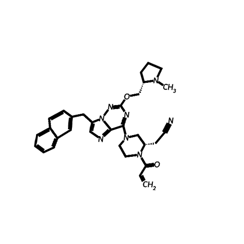 C=CC(=O)N1CCN(c2nc(OC[C@@H]3CCCN3C)nn3c(Cc4ccc5ccccc5c4)cnc23)C[C@@H]1CC#N